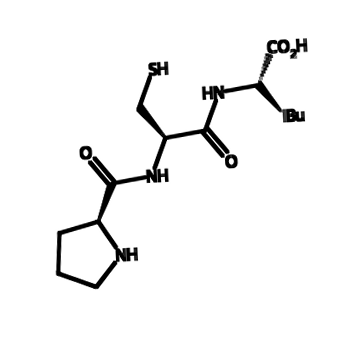 CC[C@H](C)[C@H](NC(=O)[C@H](CS)NC(=O)[C@@H]1CCCN1)C(=O)O